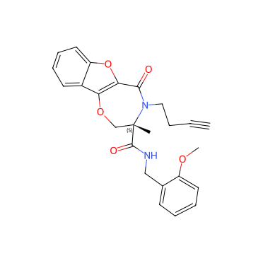 C#CCCN1C(=O)c2oc3ccccc3c2OC[C@@]1(C)C(=O)NCc1ccccc1OC